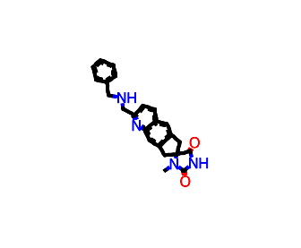 CN1C(=O)NC(=O)C12Cc1cc3ccc(CNCc4ccccc4)nc3cc1C2